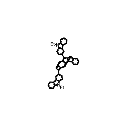 CCn1c2ccccc2c2cc(-c3c4c5c6ccccc6c4c4c6c(-c7ccc8c(c7)c7ccccc7n8CC)c7c(c3c54)c76)ccc21